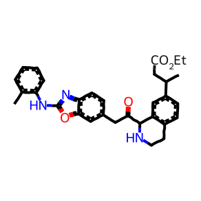 CCOC(=O)CC(C)c1ccc2c(c1)C(C(=O)Cc1ccc3nc(Nc4ccccc4C)oc3c1)NCC2